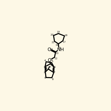 CC1C2=C3CCC(=C1CC2)C3OCC(=O)NC1CCCCC1